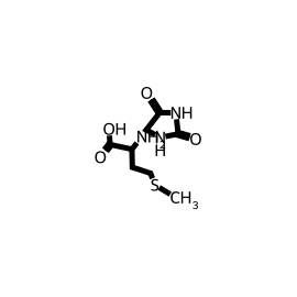 CSCCC(N)C(=O)O.O=C1CNC(=O)N1